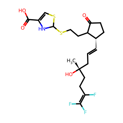 C[C@@](O)(C/C=C/[C@H]1CCC(=O)C1CCSC1NC(C(=O)O)=CS1)CCC(F)=C(F)F